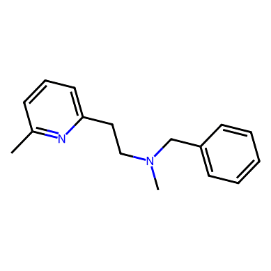 Cc1cccc(CCN(C)Cc2ccccc2)n1